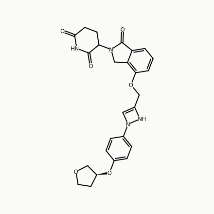 O=C1CCC(N2Cc3c(OCc4cn(-c5ccc(O[C@H]6CCOC6)cc5)[nH]4)cccc3C2=O)C(=O)N1